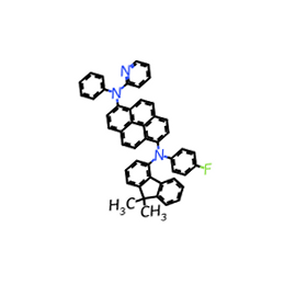 CC1(C)c2ccccc2-c2c(N(c3ccc(F)cc3)c3ccc4ccc5c(N(c6ccccc6)c6ccccn6)ccc6ccc3c4c65)cccc21